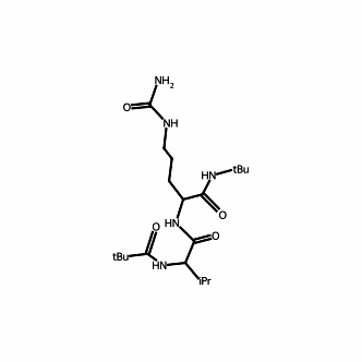 CC(C)C(NC(=O)C(C)(C)C)C(=O)NC(CCCNC(N)=O)C(=O)NC(C)(C)C